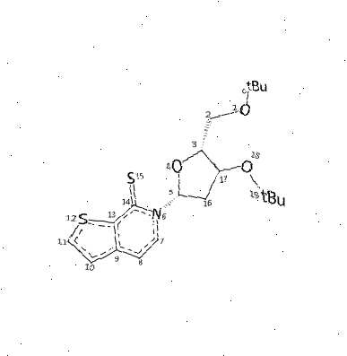 CC(C)(C)OC[C@H]1O[C@@H](n2ccc3ccsc3c2=S)CC1OC(C)(C)C